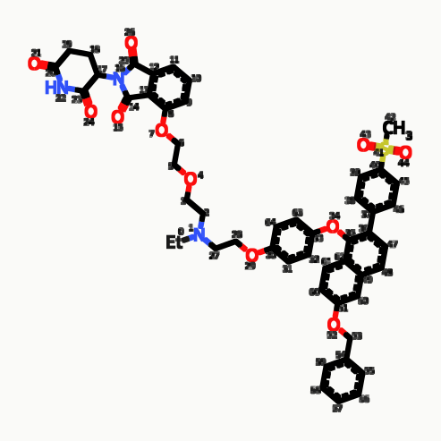 CCN(CCOCCOc1cccc2c1C(=O)N(C1CCC(=O)NC1=O)C2=O)CCOc1ccc(Oc2c(-c3ccc(S(C)(=O)=O)cc3)ccc3cc(OCc4ccccc4)ccc23)cc1